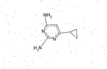 Nc1cc(C2CC2)nc(N)n1